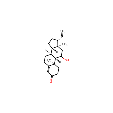 C=C[C@H]1CC[C@H]2[C@@H]3CCC4=CC(=O)CC[C@]4(C)[C@H]3C(O)C[C@]12C